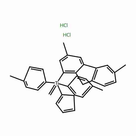 Cl.Cl.[CH2]=[Ti]([C]1=CC=CC1)([c]1ccc(C)cc1)([c]1ccc(C)cc1)[c]1cc(C)cc2c1Cc1ccc(C)cc1-2